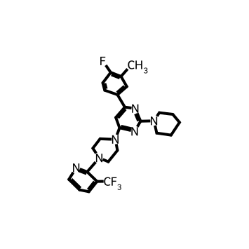 Cc1cc(-c2cc(N3CCN(c4ncccc4C(F)(F)F)CC3)nc(N3CCCCC3)n2)ccc1F